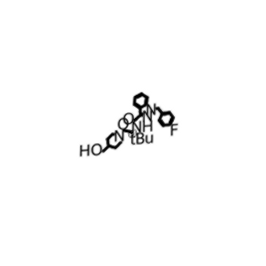 CC(C)(C)[C@H](NC(=O)c1nn(Cc2ccc(F)cc2)c2ccccc12)C(=O)N1CCC(CO)CC1